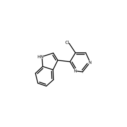 Clc1cn[c]nc1-c1c[nH]c2ccccc12